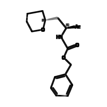 CC(=O)[C@H](C[C@H]1CCCCO1)NC(=O)OCc1ccccc1